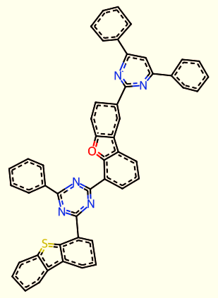 c1ccc(-c2cc(-c3ccccc3)nc(-c3ccc4oc5c(-c6nc(-c7ccccc7)nc(-c7cccc8c7sc7ccccc78)n6)cccc5c4c3)n2)cc1